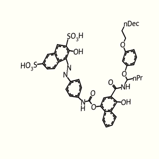 CCCCCCCCCCCCOc1cccc(OC(CCC)NC(=O)c2cc(OC(=O)Nc3ccc(N=Nc4c(O)c(S(=O)(=O)O)cc5cc(S(=O)(=O)O)ccc45)cc3)c3ccccc3c2O)c1